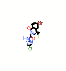 O=C(CN1C[C@]2(C[C@H]2F)c2cc(Br)ccc2C1=O)Nc1ncc(Cl)cn1